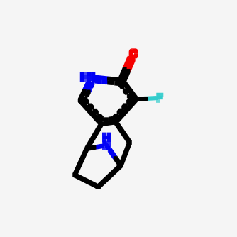 O=c1[nH]cc2c(c1F)CC1CCC2N1